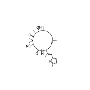 CC(=Cc1csc(C)n1)C1C/C=C(/C)CCCC(C)C(O)C(C)C(=O)C(C)(C)C(C#N)CC(=O)N1